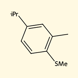 CSc1ccc([C](C)C)cc1C